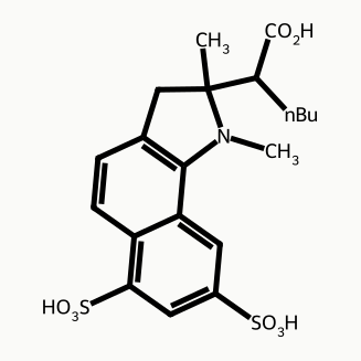 CCCCC(C(=O)O)C1(C)Cc2ccc3c(S(=O)(=O)O)cc(S(=O)(=O)O)cc3c2N1C